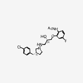 CC(=O)Nc1ccc(F)cc1OC[C@@H](O)CNN1CC[C@H](Cc2ccc(Cl)cc2)C1